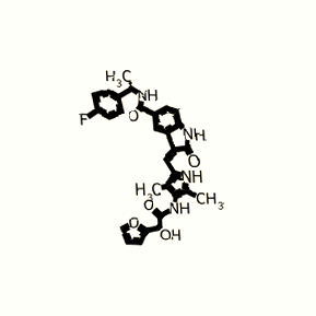 Cc1[nH]c(/C=C2\C(=O)Nc3ccc(C(=O)N[C@H](C)c4ccc(F)cc4)cc32)c(C)c1NC(=O)C(O)c1ccco1